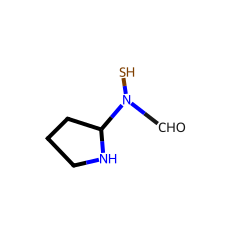 O=CN(S)C1CCCN1